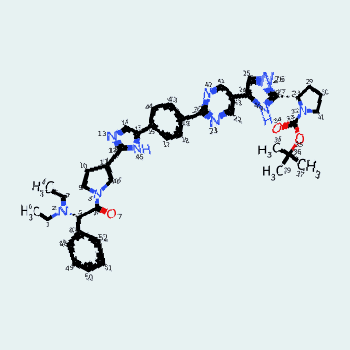 CCN(CC)[C@H](C(=O)N1CCC(c2ncc(-c3ccc(-c4ncc(-c5cnc([C@@H]6CCCN6C(=O)OC(C)(C)C)[nH]5)cn4)cc3)[nH]2)C1)c1ccccc1